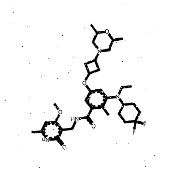 CCN(c1cc(OC2CC(N3CC(C)OC(C)C3)C2)cc(C(=O)NCc2c(OC)cc(C)[nH]c2=O)c1C)C1CCC(F)(F)CC1